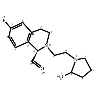 CC1CCCN1CCN1CCc2cc(F)ccc2[C@@H]1C=O